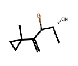 C=C(C(Br)[C@@H](C)C#N)C1(C)CC1